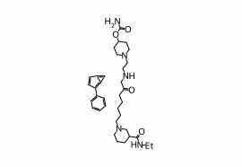 CCNC(=O)C1CCCN(CCCCCC(=O)CNCCN2CCC(OC(N)=O)CC2)C1.c1ccc(-c2ccc3cc2-3)cc1